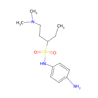 CCC(CCN(C)C)S(=O)(=O)Nc1ccc(N)cc1